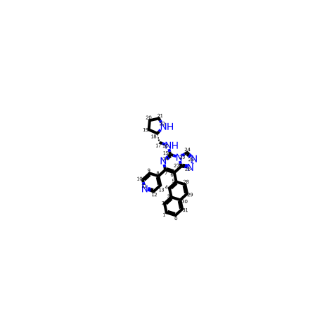 c1ccc2cc(-c3c(-c4ccncc4)nc(NC[C@@H]4CCCN4)n4cnnc34)ccc2c1